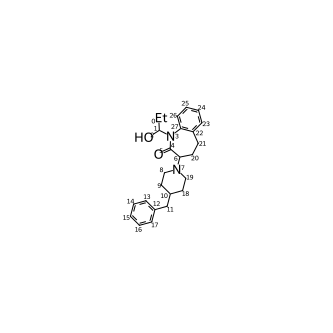 CCC(O)N1C(=O)C(N2CCC(Cc3ccccc3)CC2)CCc2ccccc21